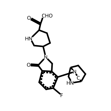 O=CC(=O)C1CCC(N2Cc3c(ccc(F)c3N3CC4CCC3CN4)C2=O)CN1